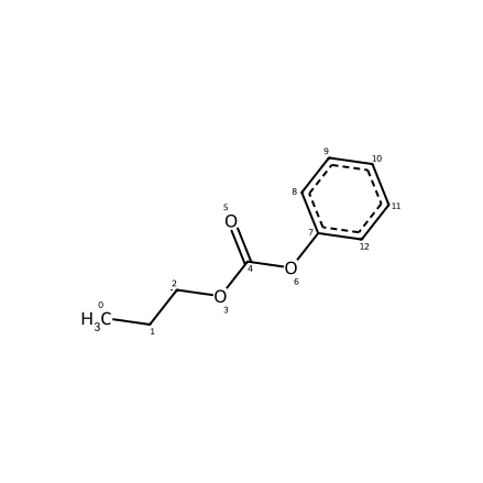 CC[CH]OC(=O)Oc1ccccc1